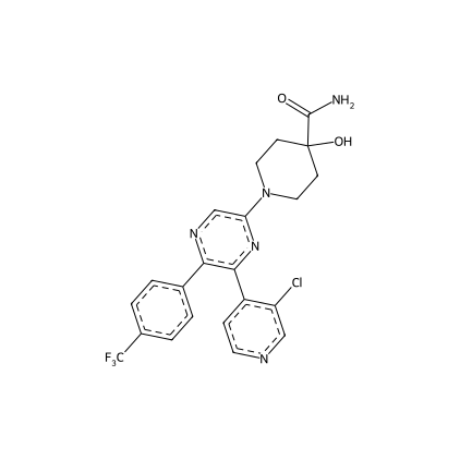 NC(=O)C1(O)CCN(c2cnc(-c3ccc(C(F)(F)F)cc3)c(-c3ccncc3Cl)n2)CC1